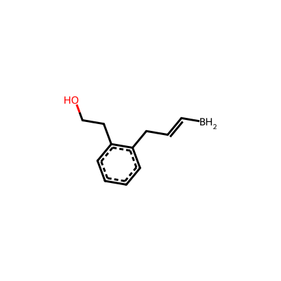 B/C=C/Cc1ccccc1CCO